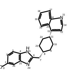 Clc1ccc2[nH]c(C[C@H]3CC[C@@H](c4ccnc5ccccc54)CC3)nc2c1